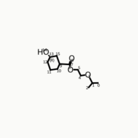 CC(C)OCCOC(=O)C1CCC[C@@H](O)C1